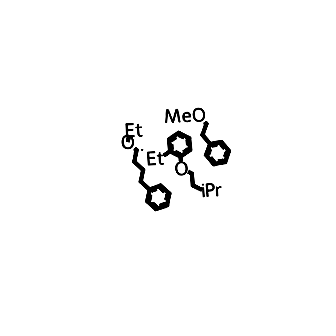 CCO[CH]CCCc1ccccc1.CCc1ccccc1OCCC(C)C.COCCc1ccccc1